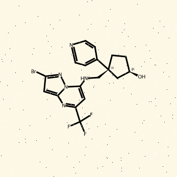 O[C@@H]1CC[C@@](CNc2cc(C(F)(F)F)nc3cc(Br)nn23)(c2ccncc2)C1